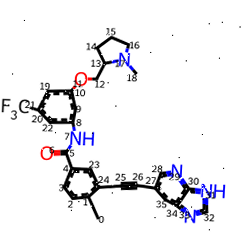 Cc1ccc(C(=O)Nc2cc(OCC3CCCN3C)cc(C(F)(F)F)c2)cc1C#Cc1cnc2[nH]cnc2c1